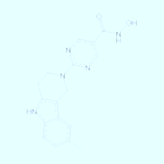 Cc1ccc2[nH]c3c(c2c1)CN(c1ncc(C(=O)NO)cn1)CC3